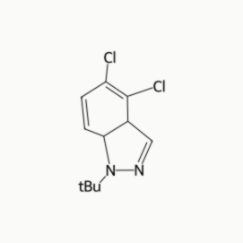 CC(C)(C)N1N=CC2C(Cl)=C(Cl)C=CC21